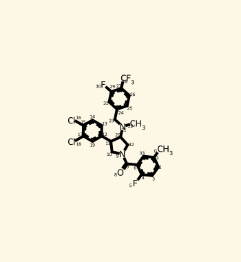 Cc1ccc(F)c(C(=O)N2CC(c3ccc(Cl)c(Cl)c3)C(N(C)Cc3ccc(C(F)(F)F)c(F)c3)C2)c1